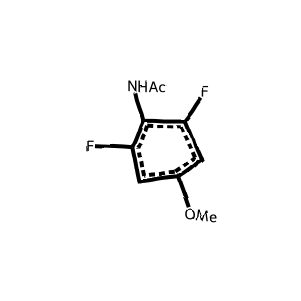 COc1cc(F)c(NC(C)=O)c(F)c1